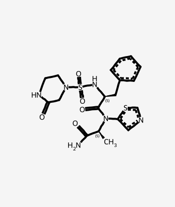 C[C@@H](C(N)=O)N(C(=O)[C@H](Cc1ccccc1)NS(=O)(=O)N1CCNC(=O)C1)c1cncs1